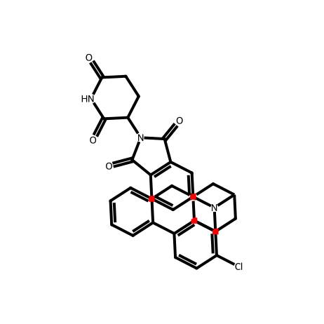 O=C1CCC(N2C(=O)c3ccc(N4C5CC4CN(Cc4ccccc4-c4ccc(Cl)cc4)C5)cc3C2=O)C(=O)N1